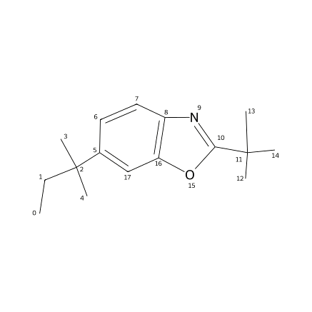 CCC(C)(C)c1ccc2nc(C(C)(C)C)oc2c1